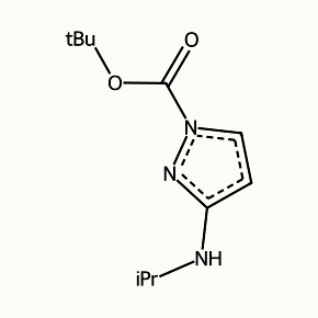 CC(C)Nc1ccn(C(=O)OC(C)(C)C)n1